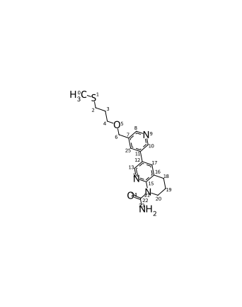 CSCCCOCc1cncc(-c2cnc3c(c2)CCCN3C(N)=O)c1